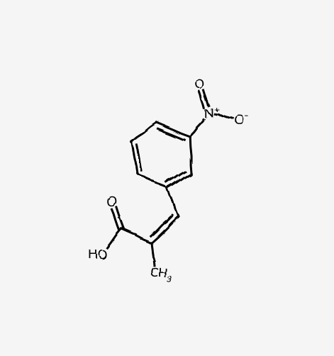 CC(=Cc1cccc([N+](=O)[O-])c1)C(=O)O